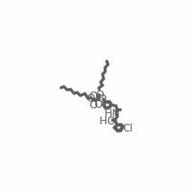 CCCCCCCCCOC(=O)C1(C(=O)OCCCCCCCCC)Oc2ccc(CC(C)NCC(O)c3cccc(Cl)c3)cc2O1